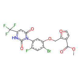 COC(=O)c1ccoc1COc1cc(-n2c(=O)cc(C(F)(F)F)[nH]c2=O)c(F)cc1Br